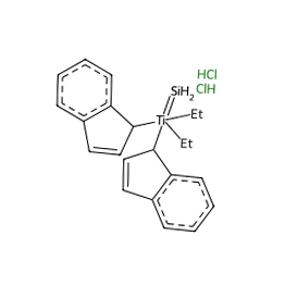 C[CH2][Ti](=[SiH2])([CH2]C)([CH]1C=Cc2ccccc21)[CH]1C=Cc2ccccc21.Cl.Cl